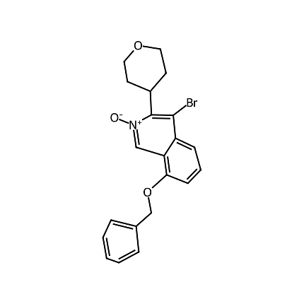 [O-][n+]1cc2c(OCc3ccccc3)cccc2c(Br)c1C1CCOCC1